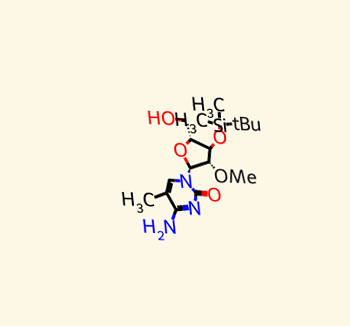 CO[C@H]1C(O[Si](C)(C)C(C)(C)C)[C@@H](CO)O[C@H]1n1cc(C)c(N)nc1=O